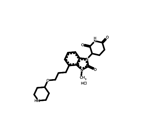 Cl.Cn1c(=O)n(C2CCC(=O)NC2=O)c2cccc(CCCOC3CCNCC3)c21